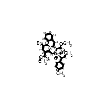 C=CC(c1ccc(C)cc1)S(=O)(=O)N(CC(=O)OC)Cc1c(C(=O)OC)cc(Br)c(=O)n1C=Cc1ccccc1